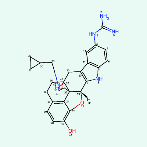 N=C(N)Nc1ccc2[nH]c3c(c2c1)C[C@@]1(O)C2Cc4ccc(O)c5c4C1(CCN2CC1CC1)[C@H]3O5